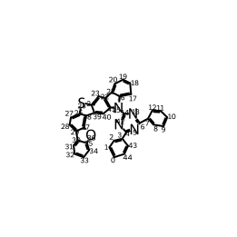 c1ccc(-c2nc(-c3ccccc3)nc(-n3c4ccccc4c4cc5sc6ccc7c8ccccc8oc7c6c5cc43)n2)cc1